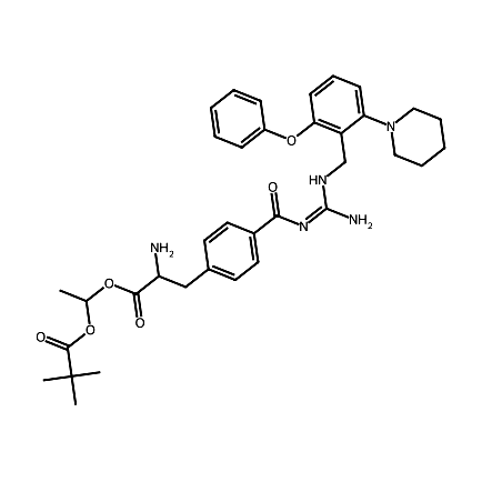 CC(OC(=O)C(N)Cc1ccc(C(=O)N=C(N)NCc2c(Oc3ccccc3)cccc2N2CCCCC2)cc1)OC(=O)C(C)(C)C